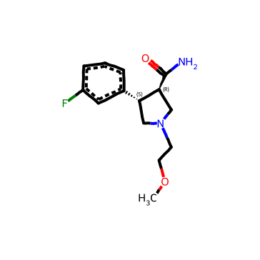 COCCN1C[C@H](C(N)=O)[C@@H](c2cccc(F)c2)C1